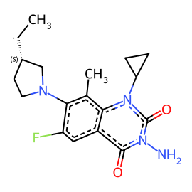 C[CH][C@H]1CCN(c2c(F)cc3c(=O)n(N)c(=O)n(C4CC4)c3c2C)C1